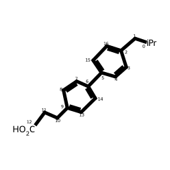 CC(C)Cc1ccc(-c2ccc(CCC(=O)O)cc2)cc1